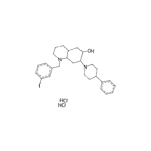 Cl.Cl.OC1CC2CCCN(Cc3cccc(I)c3)C2CC1N1CCC(c2ccccc2)CC1